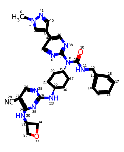 Cn1cc(-c2cnc(N(C(=O)NCc3ccccc3)[C@H]3CC[C@H](Nc4ncc(C#N)c(NC5COC5)n4)CC3)nc2)cn1